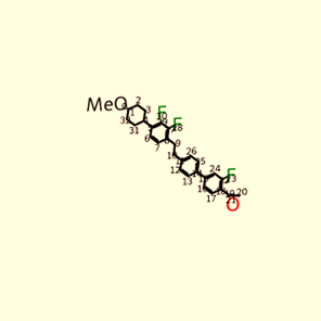 COC1CCC(c2ccc(CCc3ccc(-c4ccc(C5CO5)c(F)c4)cc3)c(F)c2F)CC1